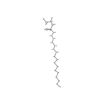 CCCCCCCCCCCCCCCCCC(=O)OC(C)OC